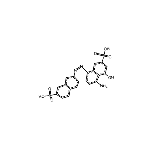 Nc1ccc(/N=N\c2ccc3ccc(S(=O)(=O)O)cc3c2)c2cc(S(=O)(=O)O)cc(O)c12